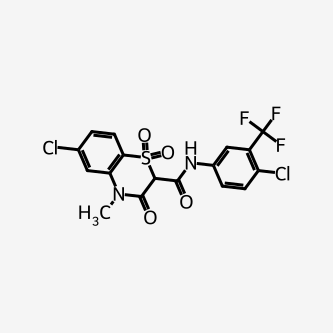 CN1C(=O)C(C(=O)Nc2ccc(Cl)c(C(F)(F)F)c2)S(=O)(=O)c2ccc(Cl)cc21